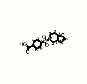 O=C(O)c1ccc(S(=O)(=O)N2CCc3occc3C2)cc1